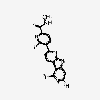 [3H]c1cc2[nH]c3nc(-c4ccc(C(=O)NC)nc4[3H])ccc3c2c([3H])n1